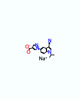 CC(C)n1cc(C#N)c2cc(-n3cc(C(=O)[O-])cn3)ccc21.[Na+]